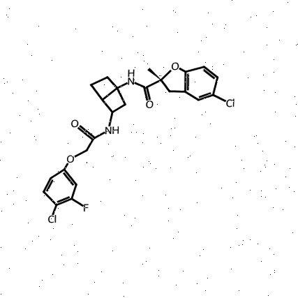 C[C@]1(C(=O)NC23CCC2C(NC(=O)COc2ccc(Cl)c(F)c2)C3)Cc2cc(Cl)ccc2O1